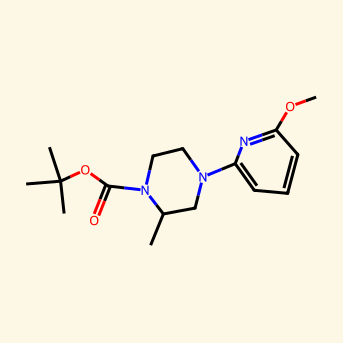 COc1cccc(N2CCN(C(=O)OC(C)(C)C)C(C)C2)n1